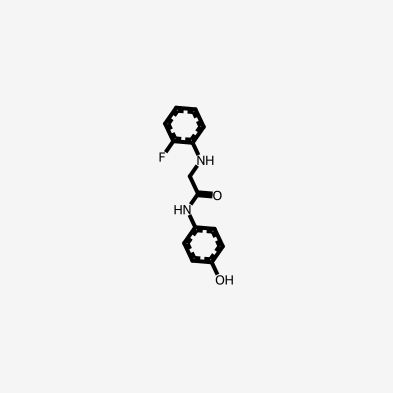 O=C(CNc1ccccc1F)Nc1ccc(O)cc1